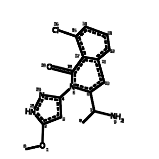 COc1cc(-n2c(C(C)N)cc3cccc(Cl)c3c2=O)n[nH]1